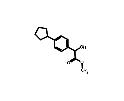 COC(=O)C(O)c1ccc(C2CCCC2)cc1